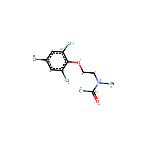 CCCN(CCOc1c(Cl)cc(Cl)cc1Cl)C(=O)Cl